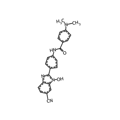 CN(C)c1ccc(C(=O)Nc2ccc(-c3nc4ccc(C#N)cc4n3O)cc2)cc1